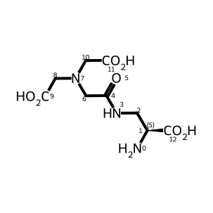 N[C@@H](CNC(=O)CN(CC(=O)O)CC(=O)O)C(=O)O